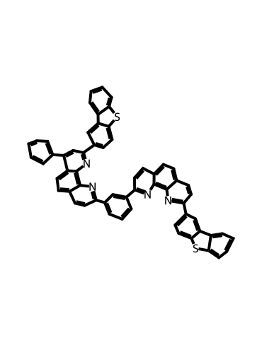 c1ccc(-c2cc(-c3ccc4sc5ccccc5c4c3)nc3c2ccc2ccc(-c4cccc(-c5ccc6ccc7ccc(-c8ccc9sc%10ccccc%10c9c8)nc7c6n5)c4)nc23)cc1